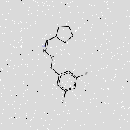 Fc1cc(F)cc(CO/N=[C]\C2CCCC2)c1